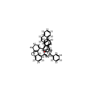 C1=C(c2cccc3oc4c5ccccc5ccc4c23)c2c(oc3cccc(-c4nc(-c5ccccc5)nc(-c5ccccc5)n4)c23)CC1